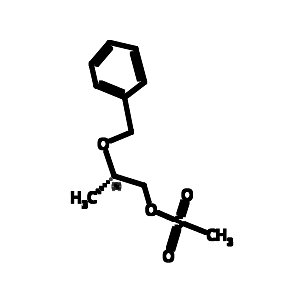 C[C@@H](COS(C)(=O)=O)OCc1ccccc1